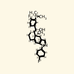 CN(C)c1cc([C@H](O)[C@H]2CCCC3=Cc4c(cnn4-c4ccc(F)cc4)C[C@@]32C)ccc1F